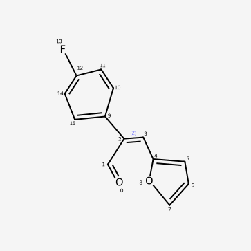 O=C/C(=C\c1ccco1)c1ccc(F)cc1